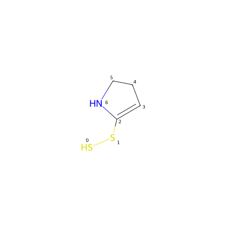 SSC1=CCCN1